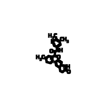 Cc1cc(NC(=O)C(=O)N2C[C@H](C)CC[C@H]2C2=CC3CCC(=O)NC3C=C2)cnc1C